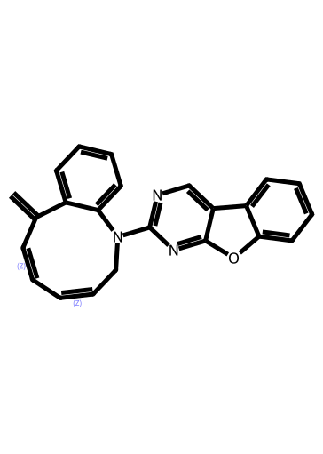 C=C1/C=C\C=C/CN(c2ncc3c(n2)oc2ccccc23)c2ccccc21